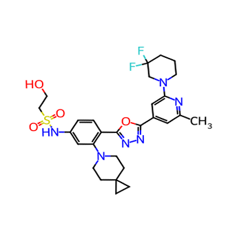 Cc1cc(-c2nnc(-c3ccc(NS(=O)(=O)CCO)cc3N3CCC4(CC3)CC4)o2)cc(N2CCCC(F)(F)C2)n1